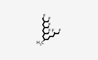 CC(CCCC(F)CF)CC(CF)CC(CF)CC(CF)CF